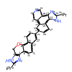 CC(C)c1nc2c([nH]1)COc1c-2ccc2cc(-c3ccc4c(c3)c3ccncc3c3nc(C(C)C)[nH]c43)ccc12